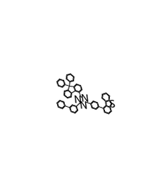 c1ccc(-c2cccc(-c3nc(-c4ccc(-c5cccc6sc7ccccc7c56)cc4)nc(-c4cccc5c4-c4ccccc4C5(c4ccccc4)c4ccccc4)n3)c2)cc1